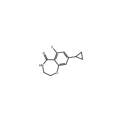 O=C1NCCOc2cc(C3CC3)cc(F)c21